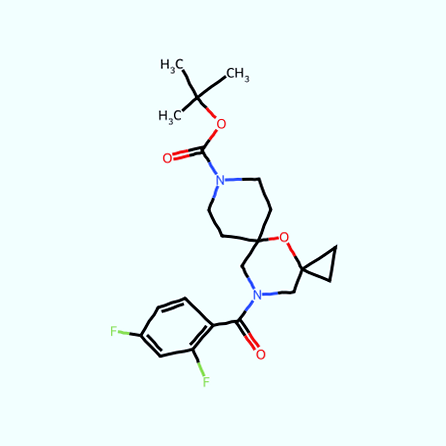 CC(C)(C)OC(=O)N1CCC2(CC1)CN(C(=O)c1ccc(F)cc1F)CC1(CC1)O2